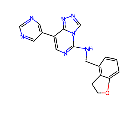 c1cc(CNc2ncc(-c3cncnc3)c3nncn23)c2c(c1)OCC2